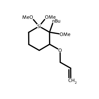 C=CCOC1CCC[Si](OC)(OC)C1(CCCC)OC